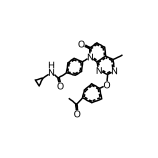 CC(=O)c1ccc(Oc2nc(C)c3ccc(=O)n(-c4ccc(C(=O)NC5CC5)cc4)c3n2)cc1